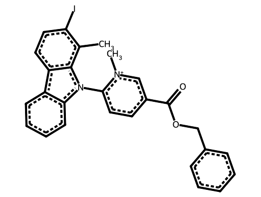 Cc1c(I)ccc2c3ccccc3n(-c3ccc(C(=O)OCc4ccccc4)c[n+]3C)c12